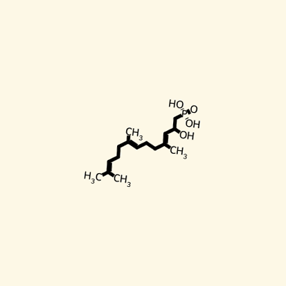 CC(C)=CCCC(C)=CCCC(C)=CC(O)CP(=O)(O)O